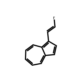 FC=Cc1ccc2cccccc1-2